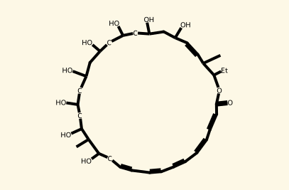 CCC1OC(=O)C=CC=CC=CC=CC=CCC(O)C(C)C(O)CC(O)CC(O)CC(O)CC(O)CC(O)CC(O)C=CC1C